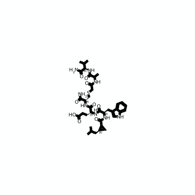 CC(C)C[C@@H]1CC1C(=O)N[C@H](Cc1c[nH]c2ccccc12)C(=O)N[C@H](CCC(=O)O)C(=O)N[C@@H](CSCC(=O)NC(C)C(=O)N[C@@H](C(N)=O)C(C)C)C(N)=O